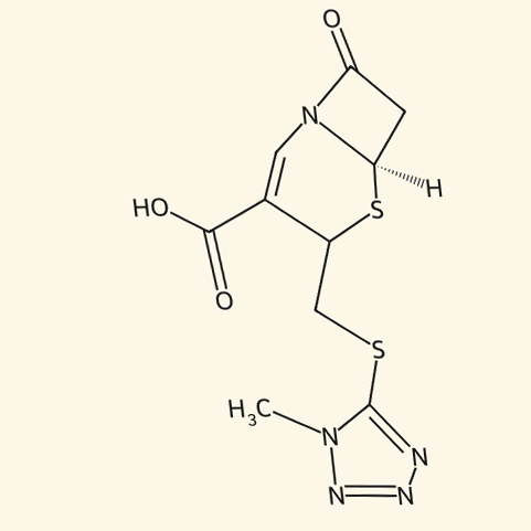 Cn1nnnc1SCC1S[C@@H]2CC(=O)N2C=C1C(=O)O